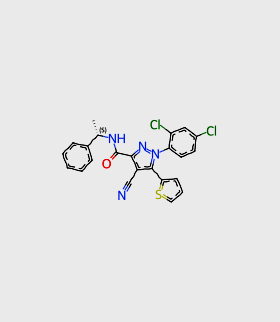 C[C@H](NC(=O)c1nn(-c2ccc(Cl)cc2Cl)c(-c2cccs2)c1C#N)c1ccccc1